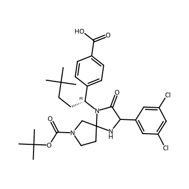 CC(C)(C)CC[C@H](c1ccc(C(=O)O)cc1)N1C(=O)C(c2cc(Cl)cc(Cl)c2)NC12CCN(C(=O)OC(C)(C)C)C2